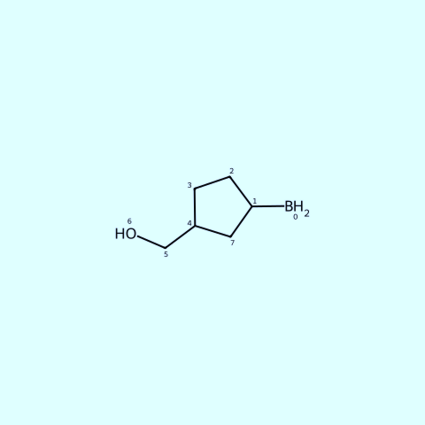 BC1CCC(CO)C1